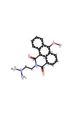 CCOc1c2ccccc2c2c3c(cccc13)C(=O)N(CCN(C)C)C2=O